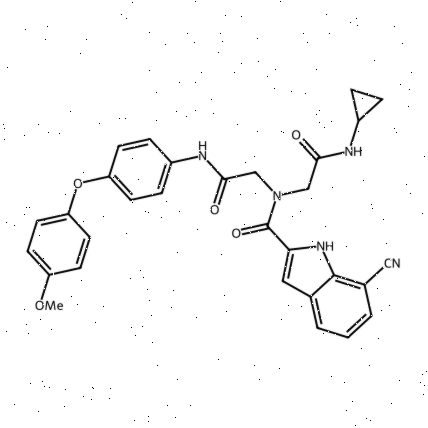 COc1ccc(Oc2ccc(NC(=O)CN(CC(=O)NC3CC3)C(=O)c3cc4cccc(C#N)c4[nH]3)cc2)cc1